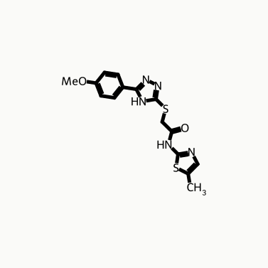 COc1ccc(-c2nnc(SCC(=O)Nc3ncc(C)s3)[nH]2)cc1